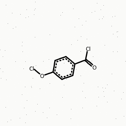 O=C(Cl)c1ccc(OCl)cc1